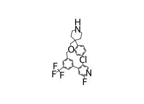 Fc1cc(-c2cc(COCC3(c4ccccc4)CCNCC3)cc(C(F)(F)F)c2)c(Cl)cn1